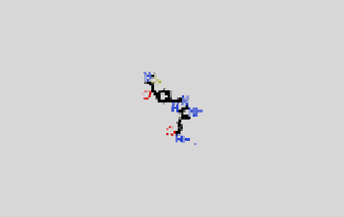 NC(=O)/C=C/c1c[nH]c2ncc(-c3ccc(C(=O)c4cncs4)cc3)nc12